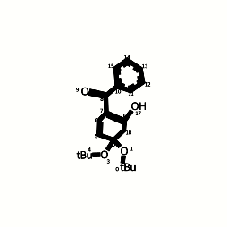 CC(C)(C)OC1(OC(C)(C)C)C=CC(C(=O)c2ccccc2)=C(O)C1